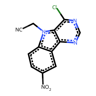 N#CCn1c2ccc([N+](=O)[O-])cc2c2ncnc(Cl)c21